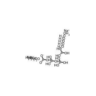 O.O.O.O.O.O.O.O.O.O.OB(O)O.OB(O)O.OB(O)O.[Na+].[Na+].[O-]B([O-])O